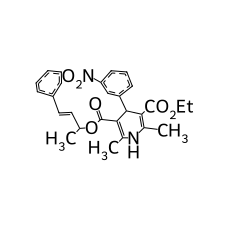 CCOC(=O)C1=C(C)NC(C)=C(C(=O)OC(C)/C=C/c2ccccc2)C1c1cccc([N+](=O)[O-])c1